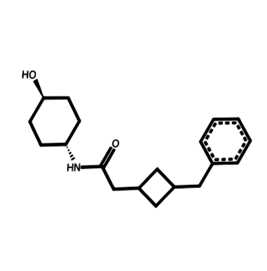 O=C(CC1CC(Cc2ccccc2)C1)N[C@H]1CC[C@H](O)CC1